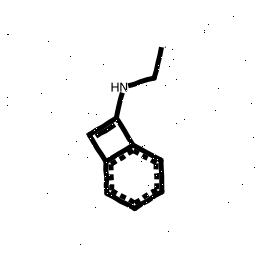 [CH2]CNC1=Cc2ccccc21